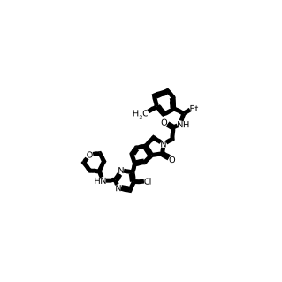 CCC(NC(=O)CN1Cc2ccc(-c3nc(NC4CCOCC4)ncc3Cl)cc2C1=O)c1cccc(C)c1